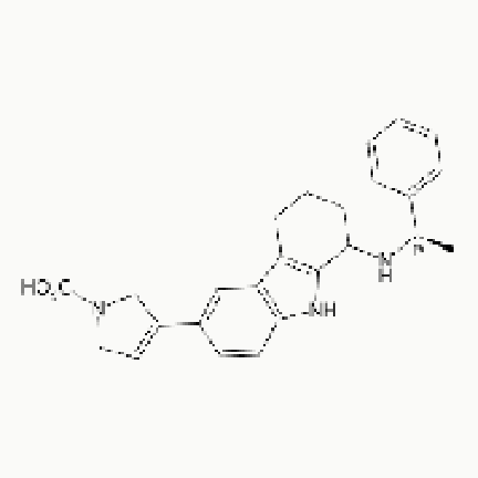 C[C@@H](NC1CCCc2c1[nH]c1ccc(C3=CCN(C(=O)O)C3)cc21)c1ccccc1